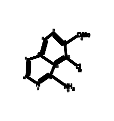 COc1ccc2ccnc(N)c2c1Cl